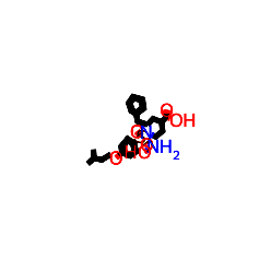 CC(C)CCOc1ccc(S(=O)(=O)N2CCC(C(=O)O)CC2Cc2ccccc2)cc1.NO